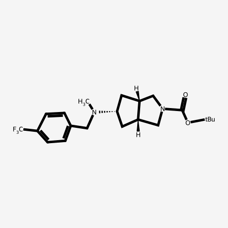 CN(Cc1ccc(C(F)(F)F)cc1)[C@@H]1C[C@@H]2CN(C(=O)OC(C)(C)C)C[C@@H]2C1